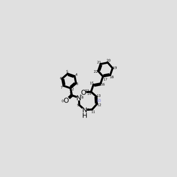 O=C(c1ccccc1)N1CNC/C=C\C(C=CC2=CCCC=C2)O1